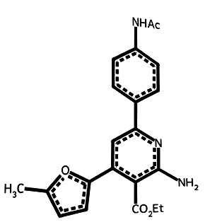 CCOC(=O)c1c(-c2ccc(C)o2)cc(-c2ccc(NC(C)=O)cc2)nc1N